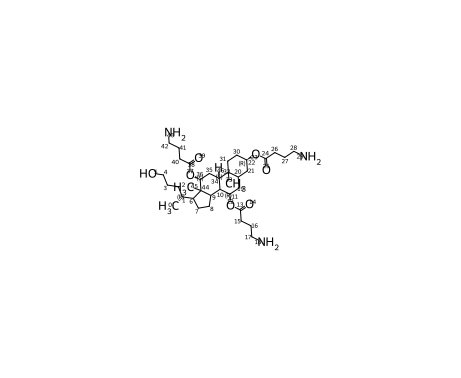 C[C@H](CCCO)C1CCC2C3[C@H](OC(=O)CCCN)CC4C[C@H](OC(=O)CCCN)CCC4(C)[C@H]3C[C@H](OC(=O)CCCN)C21C